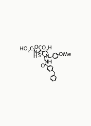 COc1ccc(CN2CCc3c(sc(NC(=O)C(=O)O)c3C(=O)O)C2CNC(=O)c2ccc(Cc3ccccc3)cc2)cc1